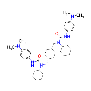 CN(C)c1ccc(NC(=O)N(C[C@H]2CC[C@@H](CN(C(=O)Nc3ccc(N(C)C)cc3)C3CCCCC3)CC2)C2CCCCC2)cc1